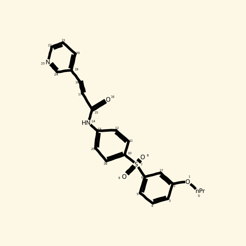 CCCOc1cccc(S(=O)(=O)c2ccc(NC(=O)C=Cc3cccnc3)cc2)c1